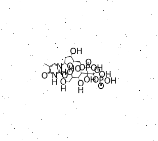 Cc1cn([C@H]2C[C@H](O)[C@@H](COP(=O)(O)[C@](O)(C(=O)OP(=O)(O)O)[C@@H](O)[C@H](O)[C@H](O)CO)O2)c(=O)[nH]c1=O